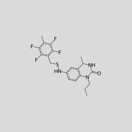 CCCN1C(=O)NC(C)c2cc(NSCc3c(F)c(F)c(C)c(F)c3F)ccc21